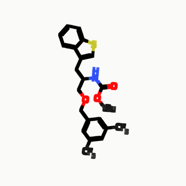 CC(C)(C)OC(=O)NC(COCc1cc(C(F)(F)F)cc(C(F)(F)F)c1)Cc1csc2ccccc12